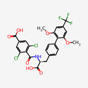 COc1cc(C(F)(F)F)cc(OC)c1-c1ccc(C[C@H](NC(=O)c2c(Cl)cc(C(=O)O)cc2Cl)C(=O)O)cc1